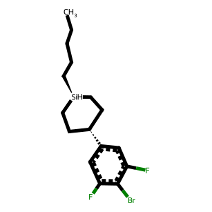 CCCCC[Si@H]1CC[C@H](c2cc(F)c(Br)c(F)c2)CC1